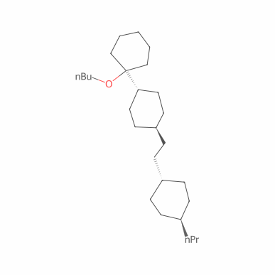 CCCCOC1([C@H]2CC[C@H](CC[C@H]3CC[C@H](CCC)CC3)CC2)CCCCC1